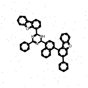 c1ccc(C2=NC(c3ccc(-c4cc(-c5ccccc5)cc5oc6ccccc6c45)c4ccccc34)NC(c3cccc4c3oc3ccccc34)=N2)cc1